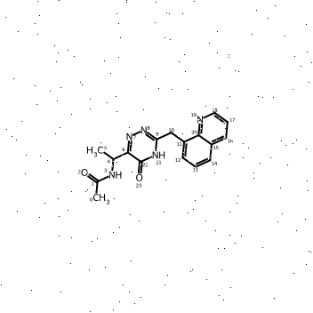 CC(=O)NC(C)c1nnc(Cc2cccc3cccnc23)[nH]c1=O